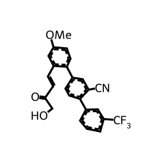 COc1ccc(-c2ccc(-c3cccc(C(F)(F)F)c3)c(C#N)c2)c(/C=C/C(=O)CO)c1